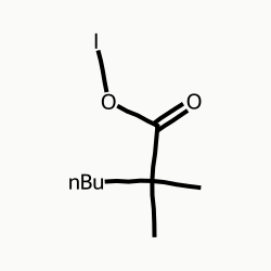 CCCCC(C)(C)C(=O)OI